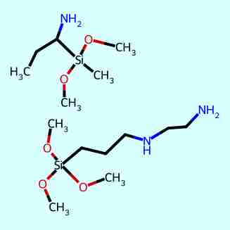 CCC(N)[Si](C)(OC)OC.CO[Si](CCCNCCN)(OC)OC